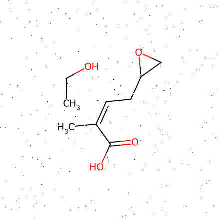 CC(=CCC1CO1)C(=O)O.CCO